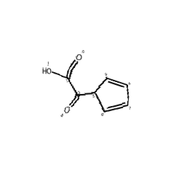 O=C(O)C(=O)C1C=CC=C1